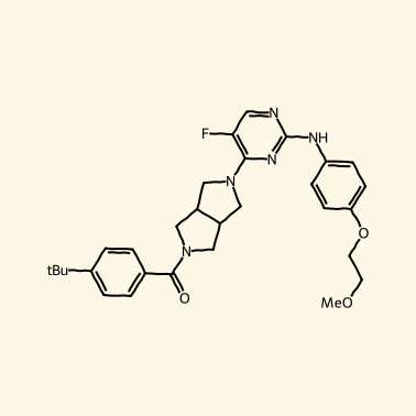 COCCOc1ccc(Nc2ncc(F)c(N3CC4CN(C(=O)c5ccc(C(C)(C)C)cc5)CC4C3)n2)cc1